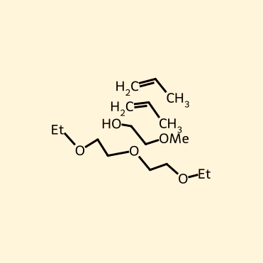 C=CC.C=CC.CCOCCOCCOCC.COCCO